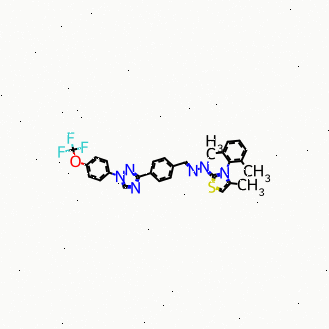 Cc1cccc(C)c1-n1c(C)csc1=NN=Cc1ccc(-c2ncn(-c3ccc(OC(F)(F)F)cc3)n2)cc1